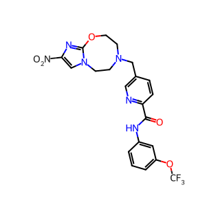 O=C(Nc1cccc(OC(F)(F)F)c1)c1ccc(CN2CCOc3nc([N+](=O)[O-])cn3CC2)cn1